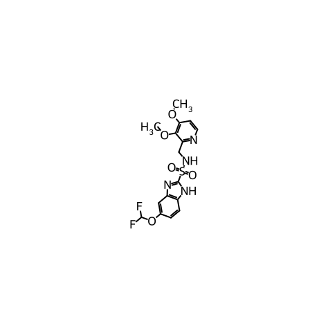 COc1ccnc(CNS(=O)(=O)c2nc3cc(OC(F)F)ccc3[nH]2)c1OC